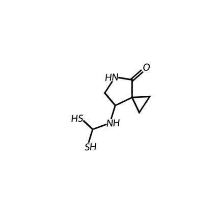 O=C1NCC(NC(S)S)C12CC2